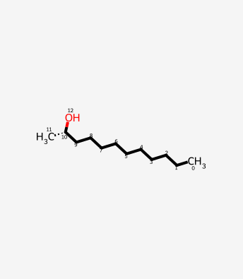 CCCCCCCCCC[C@H](C)O